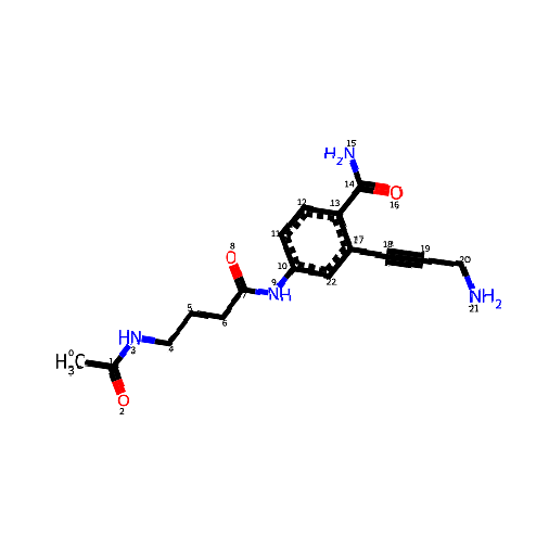 CC(=O)NCCCC(=O)Nc1ccc(C(N)=O)c(C#CCN)c1